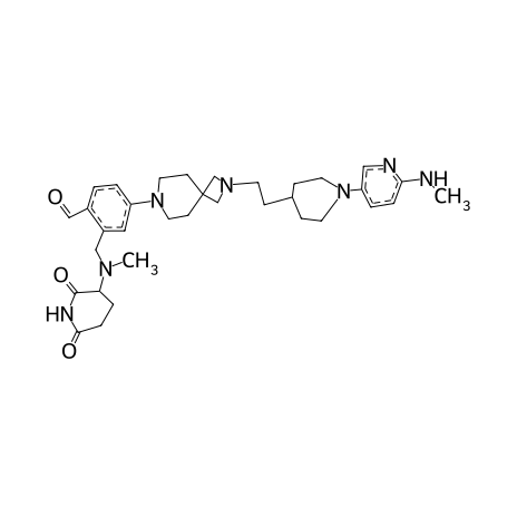 CNc1ccc(N2CCC(CCN3CC4(CCN(c5ccc(C=O)c(CN(C)C6CCC(=O)NC6=O)c5)CC4)C3)CC2)cn1